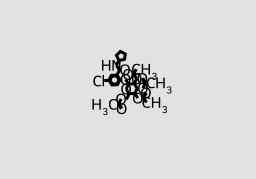 CC(=O)OCC1OC(Oc2ccc(Cl)cc2C(=O)NC2CCCC2)C(OC(C)=O)C(OC(C)=O)C1OC(C)=O